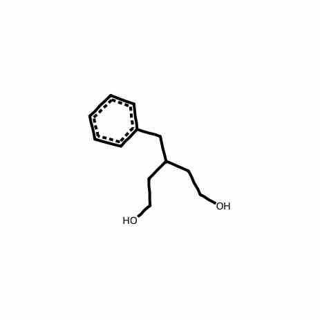 OCC[C](CCO)Cc1ccccc1